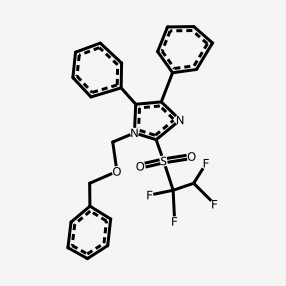 O=S(=O)(c1nc(-c2ccccc2)c(-c2ccccc2)n1COCc1ccccc1)C(F)(F)C(F)F